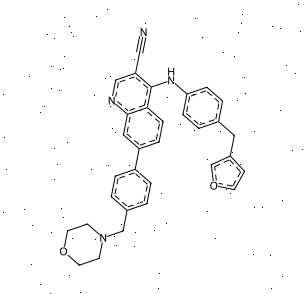 N#Cc1cnc2cc(-c3ccc(CN4CCOCC4)cc3)ccc2c1Nc1ccc(Cc2ccoc2)cc1